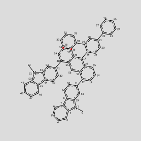 Cn1c2ccccc2c2ccc(-c3cccc4c(-c5ccc(-c6ccccc6)cc5-c5ccccc5)c5cccc(-c6ccc7c8ccccc8n(C)c7c6)c5cc34)cc21